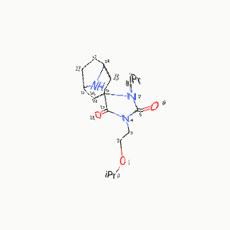 CC(C)OCCN1C(=O)N(C(C)C)C2(CC3CCC(C2)N3)C1=O